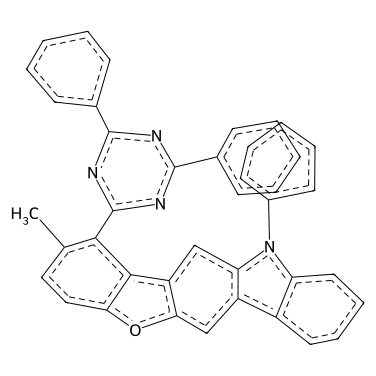 Cc1ccc2oc3cc4c5ccccc5n(-c5ccccc5)c4cc3c2c1-c1nc(-c2ccccc2)nc(-c2ccccc2)n1